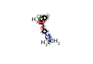 C=C(C)N1CCN(c2ccc(OCC3COC(C)(c4ccc(F)cc4Cl)O3)cc2)CC1